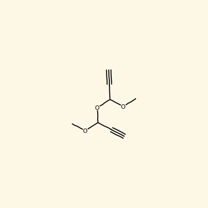 C#CC(OC)OC(C#C)OC